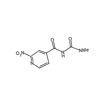 CNC(=O)NC(=O)c1ccnc([N+](=O)[O-])c1